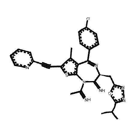 CC(=N)N1C(=N)[C@H](Cc2nnc(C(C)C)o2)N=C(c2ccc(Cl)cc2)c2c1sc(C#Cc1ccccn1)c2C